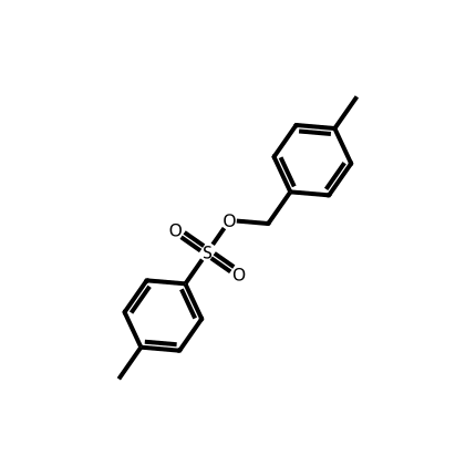 Cc1ccc(COS(=O)(=O)c2ccc(C)cc2)cc1